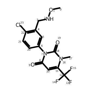 CONCc1cc(-n2c(=O)cc(C(F)(F)F)n(C)c2=O)ccc1Cl